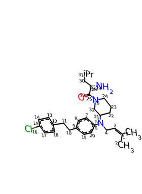 CC(C)=CCN(c1ccc(CCc2ccc(Cl)cc2)cc1)C1CCCN(C(=O)[C@@H](N)CC(C)C)C1